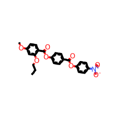 CCCOc1cc(OC)ccc1C(=O)Oc1ccc(C(=O)Oc2ccc([N+](=O)[O-])cc2)cc1